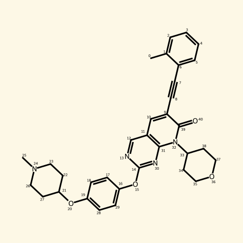 Cc1ccccc1C#Cc1cc2cnc(Oc3ccc(OC4CCN(C)CC4)cc3)nc2n(C2CCOCC2)c1=O